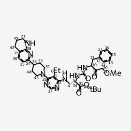 CCc1c(NC[C@H](NC(=O)NC(Cc2ccccc2)C(=O)COC)C(=O)OC(C)(C)C)ncnc1N1CCC(c2ccc3c(n2)NCCC3)CC1